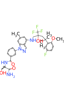 COc1ccc(F)cc1C(C)(C)CC(O)(CNc1cc(C)cc2c1cnn2-c1cccc(C(=O)N[C@H](CO)C(N)=O)c1)C(F)(F)F